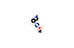 Cc1ccc2c(N3CCN(C(=O)OC(C)(C)C)CC3)c(F)ccc2n1